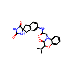 CC(C)C1Oc2ccccc2N(CC(=O)Nc2ccc3c(c2)CC2(C3)NC(=O)NC2=O)C1=O